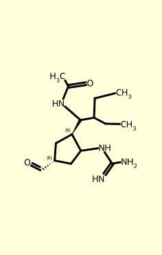 CCC(CC)C(NC(C)=O)[C@@H]1C[C@@H](C=O)CC1NC(=N)N